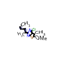 C/C=C\C=C(/C)c1nc(Cl)c2c(C)c(OC)sc2n1